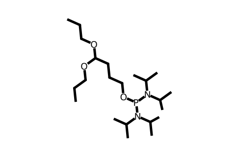 CCCOC(CCCOP(N(C(C)C)C(C)C)N(C(C)C)C(C)C)OCCC